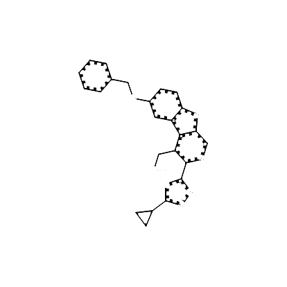 COCc1c(-c2nnc(C3CC3)o2)ncc2[nH]c3ccc(OCc4ccccc4)cc3c12